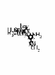 Cc1ccc(-c2cc(N)cc(CN3CCC(F)(F)[C@H](NC(=O)OC(C)(C)C)C3)c2)cn1